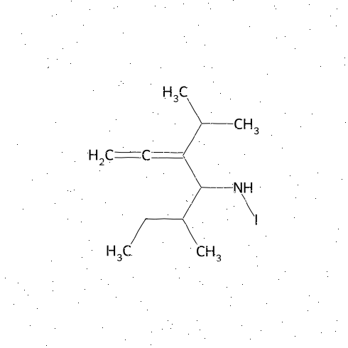 C=C=C(C(C)C)C(NI)C(C)CC